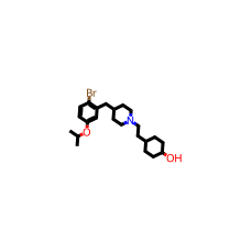 CC(C)Oc1ccc(Br)c(CC2CCN(CCC3CCC(O)CC3)CC2)c1